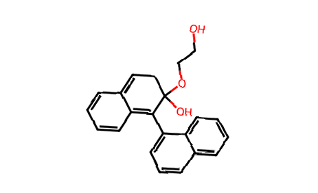 OCCOC1(O)CC=c2ccccc2=C1c1cccc2ccccc12